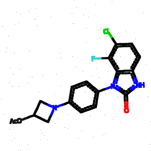 CC(=O)OC1CN(c2ccc(-n3c(=O)[nH]c4ccc(Cl)c(F)c43)cc2)C1